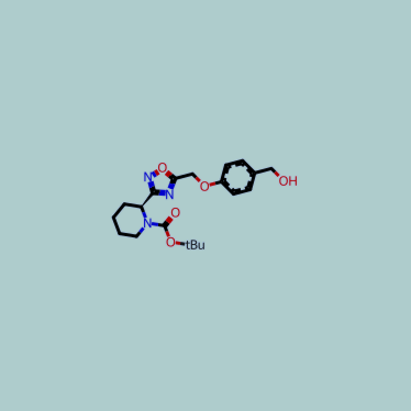 CC(C)(C)OC(=O)N1CCCC[C@H]1c1noc(COc2ccc(CO)cc2)n1